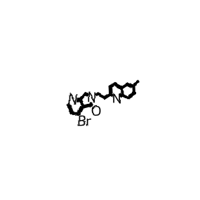 Cc1ccc2nc(CCN3Cc4nccc(Br)c4C3=O)ccc2c1